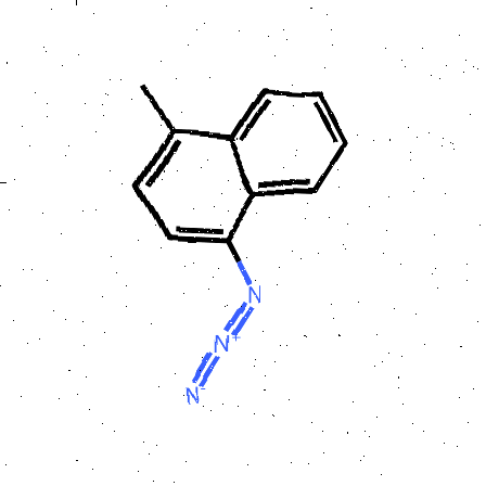 Cc1ccc(N=[N+]=[N-])c2ccccc12